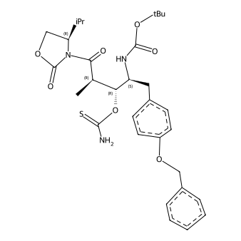 CC(C)[C@@H]1COC(=O)N1C(=O)[C@H](C)[C@@H](OC(N)=S)[C@H](Cc1ccc(OCc2ccccc2)cc1)NC(=O)OC(C)(C)C